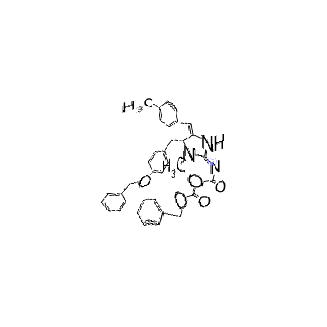 Cc1ccc(C=C2N/C(=N/C(=O)OC(=O)OCc3ccccc3)N(C)C2Cc2ccc(OCc3ccccc3)cc2)cc1